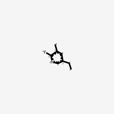 CCc1cnc(F)c(C)c1